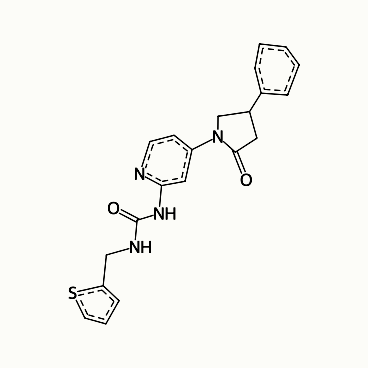 O=C(NCc1cccs1)Nc1cc(N2CC(c3ccccc3)CC2=O)ccn1